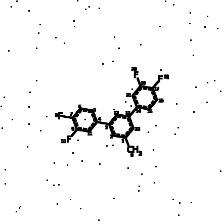 Cc1cc(-c2ccc(F)c(F)c2)cc(-c2ccc(F)c(F)c2)c1